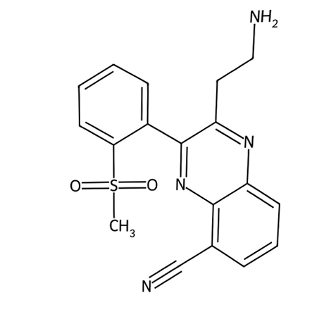 CS(=O)(=O)c1ccccc1-c1nc2c(C#N)cccc2nc1CCN